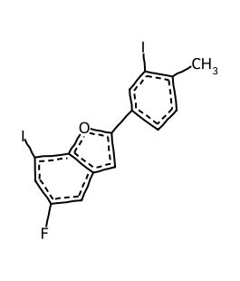 Cc1ccc(-c2cc3cc(F)cc(I)c3o2)cc1I